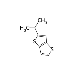 CC(C)c1cc2sccc2s1